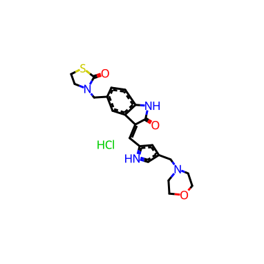 Cl.O=C1Nc2ccc(CN3CCSC3=O)cc2/C1=C/c1cc(CN2CCOCC2)c[nH]1